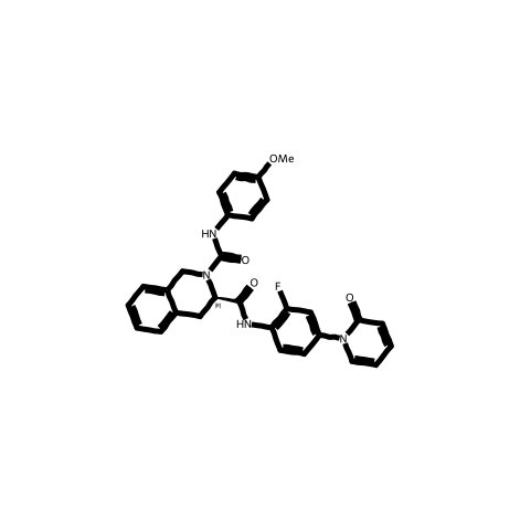 COc1ccc(NC(=O)N2Cc3ccccc3C[C@@H]2C(=O)Nc2ccc(-n3ccccc3=O)cc2F)cc1